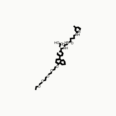 C=C(/C=C\C(=C/C)c1ccc(OCCOCCOCCOCCOCC)c2ccccc12)[C@H](CC(=O)O)NC(=O)CNC(=O)CCCNc1cc(C)ccn1